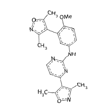 COc1ccc(Nc2nccc(-c3c(C)noc3C)n2)cc1-c1c(C)noc1C